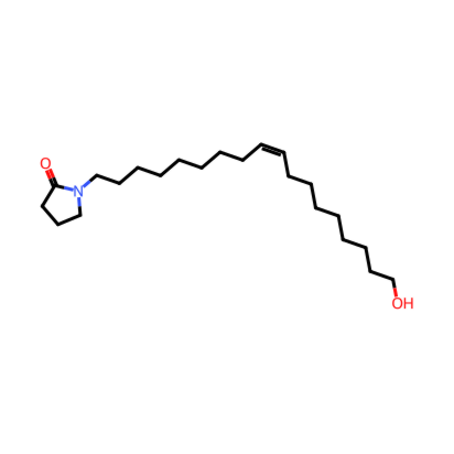 O=C1CCCN1CCCCCCCC/C=C\CCCCCCCCO